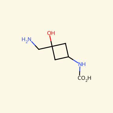 NCC1(O)CC(NC(=O)O)C1